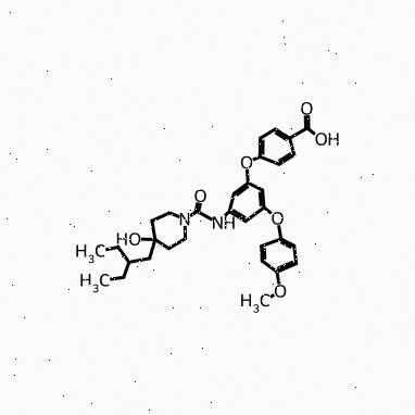 CCC(CC)CC1(O)CCN(C(=O)Nc2cc(Oc3ccc(OC)cc3)cc(Oc3ccc(C(=O)O)cc3)c2)CC1